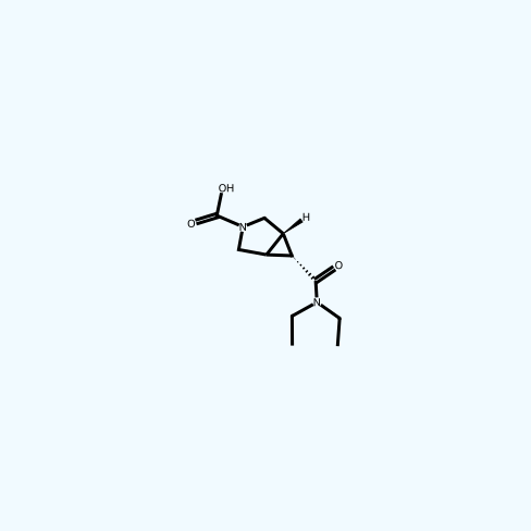 CCN(CC)C(=O)[C@@H]1C2CN(C(=O)O)C[C@@H]21